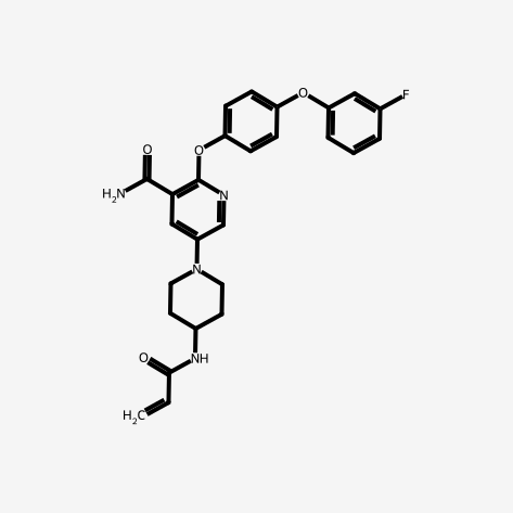 C=CC(=O)NC1CCN(c2cnc(Oc3ccc(Oc4cccc(F)c4)cc3)c(C(N)=O)c2)CC1